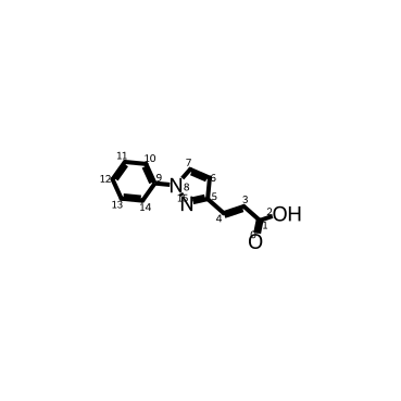 O=C(O)/C=C/c1ccn(-c2ccccc2)n1